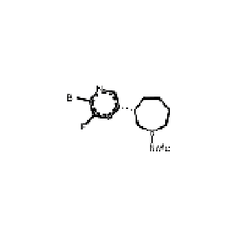 CNN1CCCC[C@@H](c2cnc(Br)c(F)c2)C1